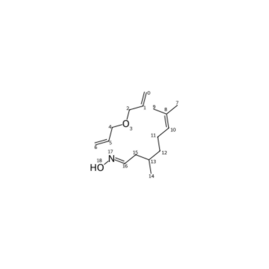 C=CCOCC=C.CC(C)=CCCC(C)CC=NO